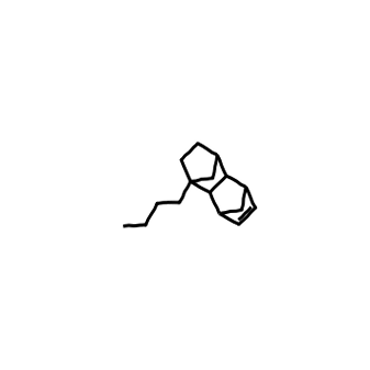 CCCCC12CCC(C1)C1C3C=CC(C3)C12